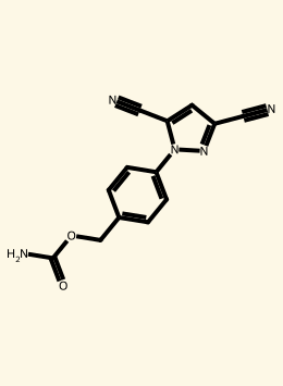 N#Cc1cc(C#N)n(-c2ccc(COC(N)=O)cc2)n1